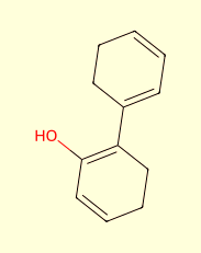 OC1=C(C2=CC=CCC2)CCC=C1